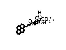 O=C(CCCc1ccc2ccc3cccc4ccc1c2c34)NCNC(=O)C(O)C(O)C(=O)O